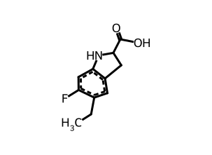 CCc1cc2c(cc1F)NC(C(=O)O)C2